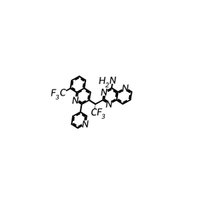 Nc1nc([C@@H](c2cc3cccc(C(F)(F)F)c3nc2-c2cccnc2)C(F)(F)F)nc2cccnc12